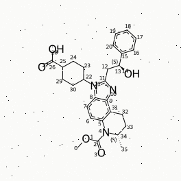 COC(=O)N1c2ccc3c(nc(C[C@H](O)c4ccccc4)n3C3CCC(C(=O)O)CC3)c2CC[C@@H]1C